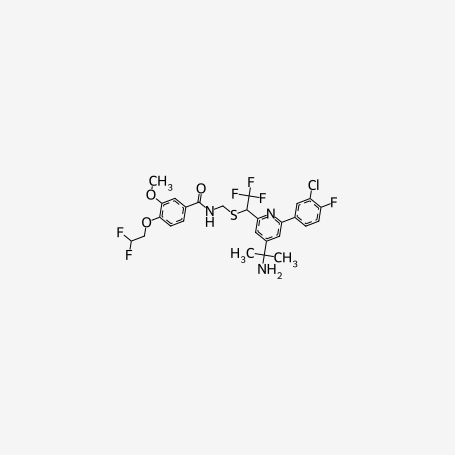 COc1cc(C(=O)NCSC(c2cc(C(C)(C)N)cc(-c3ccc(F)c(Cl)c3)n2)C(F)(F)F)ccc1OCC(F)F